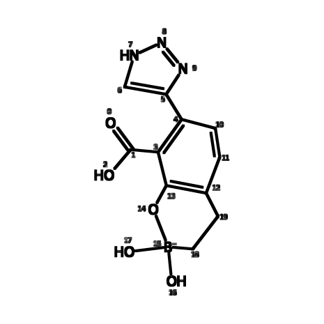 O=C(O)c1c(-c2c[nH]nn2)ccc2c1O[B-](O)(O)CC2